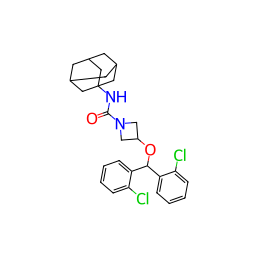 O=C(NC12CC3CC(CC(C3)C1)C2)N1CC(OC(c2ccccc2Cl)c2ccccc2Cl)C1